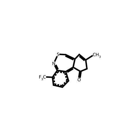 CC1=CC2=CSN=c3c(C(F)(F)F)cccc3=C2C(=O)C1